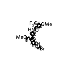 COC(=O)CN(Cc1ccc(-c2ncc(Br)cn2)cc1)C(=O)c1ccc(NC(=O)Cc2ccc(OC)cc2C(F)(F)F)cc1